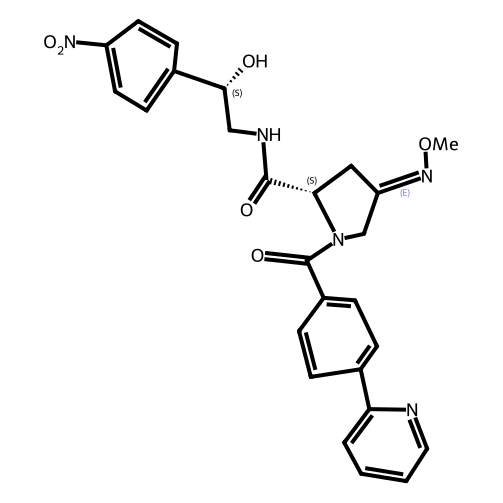 CO/N=C1\C[C@@H](C(=O)NC[C@@H](O)c2ccc([N+](=O)[O-])cc2)N(C(=O)c2ccc(-c3ccccn3)cc2)C1